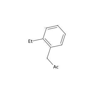 CCc1[c]cccc1CC(C)=O